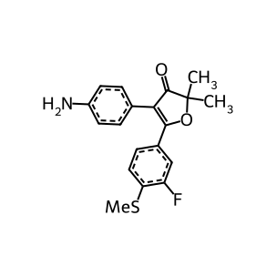 CSc1ccc(C2=C(c3ccc(N)cc3)C(=O)C(C)(C)O2)cc1F